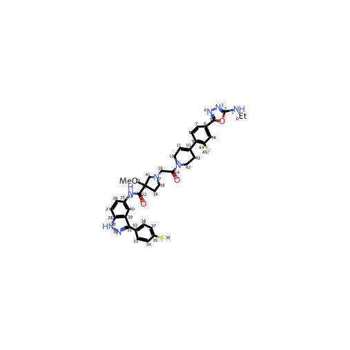 CCNc1nnc(-c2ccc(C3=CCN(C(=O)CN4CCC(OC)(C(=O)Nc5ccc6[nH]nc(-c7ccc(F)cc7)c6c5)C4)CC3)c(F)c2)o1